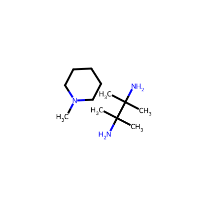 CC(C)(N)C(C)(C)N.CN1CCCCC1